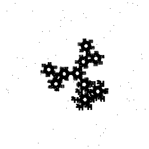 [2H]c1c([2H])c([2H])c(N(c2ccc(-c3cc(-c4ccc5c(c4)c4ccccc4n5-c4ccccc4)cc(-c4ccc5c(c4)c4ccccc4n5-c4ccccc4)c3)nc2)c2c([2H])c([2H])c(F)c([2H])c2[2H])c([2H])c1[2H]